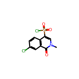 Cn1cc(S(=O)(=O)Cl)c2ccc(Cl)cc2c1=O